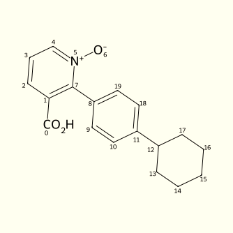 O=C(O)c1ccc[n+]([O-])c1-c1ccc(C2CCCCC2)cc1